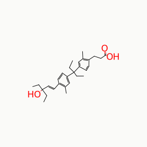 CCC(O)(C=Cc1ccc(C(CC)(CC)c2ccc(CCC(=O)O)c(C)c2)cc1C)CC